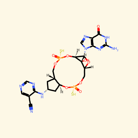 N#Cc1cncnc1N[C@@H]1C[C@@H]2CO[P@](=O)(S)O[C@@H]3[C@H](O)[C@@H](CO[P@](=O)(S)O[C@H]2C1)O[C@H]3n1cnc2c(=O)[nH]c(N)nc21